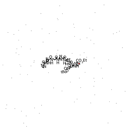 CCOC(=O)c1nc(NC(=O)CC2(CNC(=O)c3cc(NC(=O)c4nc(NC(=O)CCNC(=O)c5cc(NC(=O)c6nccn6C)cn5C)cn4C)cn3C)CN(C(=O)OC(C)(C)C)C2)cn1C